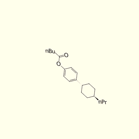 CCCCC(=O)Oc1ccc([C@H]2CC[C@H](CCC)CC2)cc1